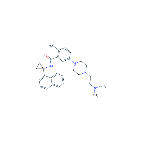 Cc1ccc(N2CCN(CCN(C)C)CC2)cc1C(=O)NC1(c2cccc3ccccc23)CC1